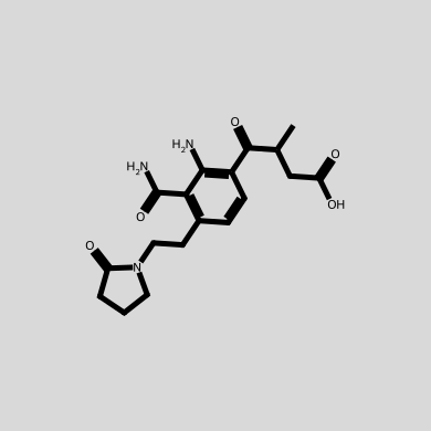 CC(CC(=O)O)C(=O)c1ccc(CCN2CCCC2=O)c(C(N)=O)c1N